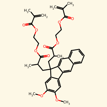 C=C(C)C(=O)OCCOC(=O)C(C)CC1(CC(C)C(=O)OCCOC(=O)C(=C)C)c2cc(OC)c(OC)cc2-c2cc3ccccc3cc21